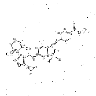 COC(=O)c1ccc(C#Cc2ccc(OCc3c(-c4c(Cl)cccc4Cl)noc3C3CC3)cc2C(F)(F)F)cc1